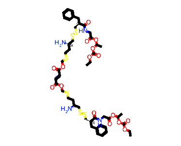 CCOC(=O)OC(C)OC(=O)CNC(=O)[C@@H](CSSC[C@@H](N)CCSCOC(=O)/C=C/C(=O)OCSCC[C@H](N)CSSC[C@@H](Cc1ccccc1)C(=O)NCC(=O)OC(C)OC(=O)OCC)Cc1ccccc1